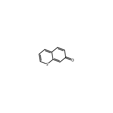 O=c1ccc2cccsc-2c1